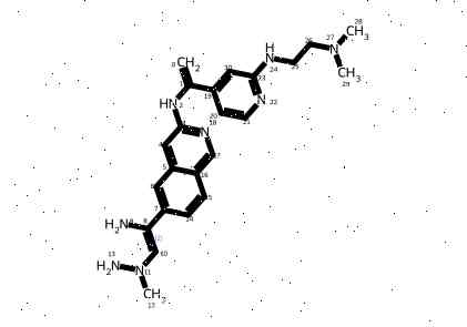 C=C(Nc1cc2cc(/C(N)=C/N(C)N)ccc2cn1)c1ccnc(NCCN(C)C)c1